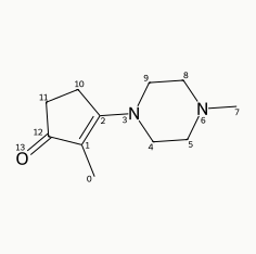 CC1=C(N2CCN(C)CC2)CCC1=O